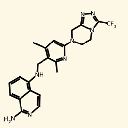 Cc1cc(N2CCn3c(nnc3C(F)(F)F)C2)nc(C)c1CNc1cccc2c(N)nccc12